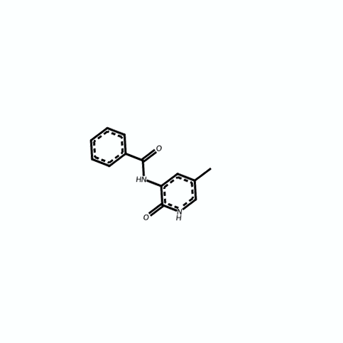 Cc1c[nH]c(=O)c(NC(=O)c2ccccc2)c1